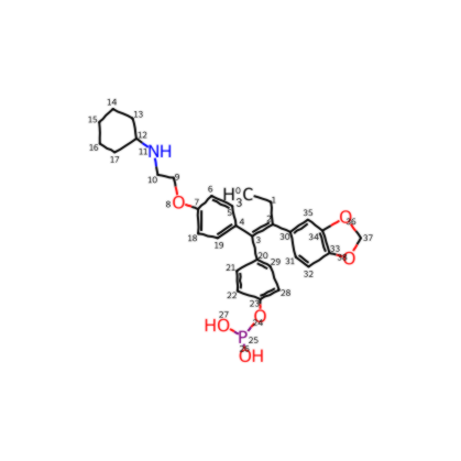 CCC(=C(c1ccc(OCCNC2CCCCC2)cc1)c1ccc(OP(O)O)cc1)c1ccc2c(c1)OCO2